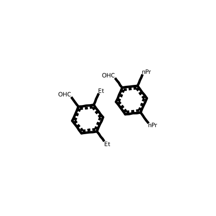 CCCc1ccc(C=O)c(CCC)c1.CCc1ccc(C=O)c(CC)c1